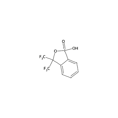 O=I1(O)OC(C(F)(F)F)(C(F)(F)F)c2ccccc21